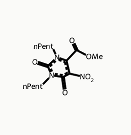 CCCCCn1c(C(=O)OC)c([N+](=O)[O-])c(=O)n(CCCCC)c1=O